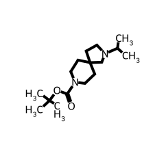 CC(C)N1CCC2(CCN(C(=O)OC(C)(C)C)CC2)C1